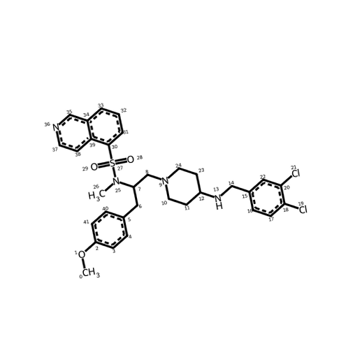 COc1ccc(CC(CN2CCC(NCc3ccc(Cl)c(Cl)c3)CC2)N(C)S(=O)(=O)c2cccc3cnccc23)cc1